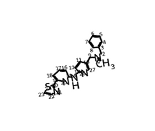 CN(Cc1ccccc1)Cc1ccc(Nc2cccc(-c3nccs3)n2)nc1